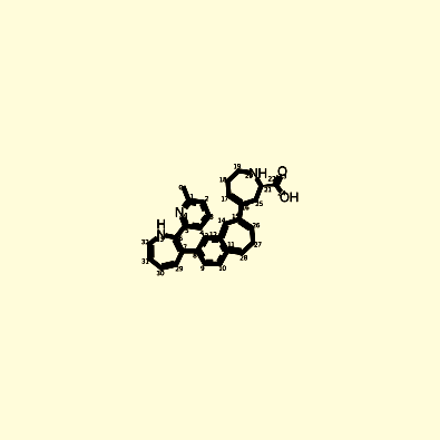 Cc1cccc(C2=C(c3ccc4c(c3)=CC(C3=CCCN[C@@H](C(=O)O)C3)=CCC=4)C=CC=CN2)n1